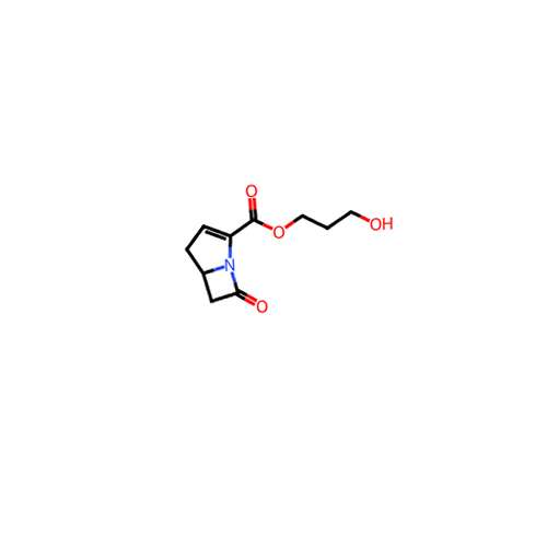 O=C(OCCCO)C1=CCC2CC(=O)N12